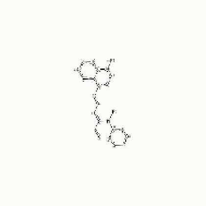 CCN1C(=CC=Cc2cc[n+](CC)c3ccccc23)C=Cc2ccccc21